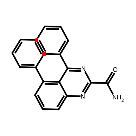 NC(=O)c1nc(-c2ccccc2)c2c(-c3ccccc3)cccc2n1